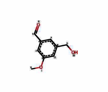 COc1cc(C=O)cc(CO)c1